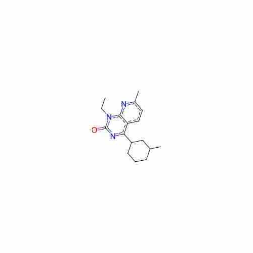 CCn1c(=O)nc(C2CCCC(C)C2)c2ccc(C)nc21